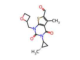 Cc1c(C=O)sc2c1c(=O)n(C1C[C@@H]1C)c(=O)n2CC1CCO1